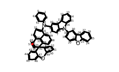 c1ccc(N(c2ccc3c(c2)c2ccccc2n3-c2ccc3oc4ccccc4c3c2)c2ccc3c4c(cccc24)C2(c4ccccc4Oc4ccccc42)c2ccccc2-3)cc1